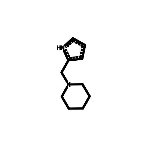 c1c[nH]c(CN2CCCCC2)c1